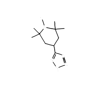 CC1(C)CC(c2nn[nH]n2)CC(C)(C)N1[O]